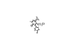 CCOC(=O)c1c(-c2ccc(F)cc2)c(=O)ccn1C1CC1